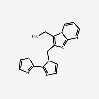 CCc1c(Cn2ccnc2-c2nccs2)nc2ncccn12